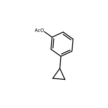 CC(=O)Oc1cccc(C2CC2)c1